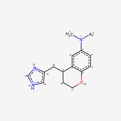 CC(=O)N(C)c1ccc2c(c1)C(Cc1c[nH]cn1)CCO2